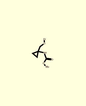 CCOCC1(NC(=O)OC(C)(C)C)CC1